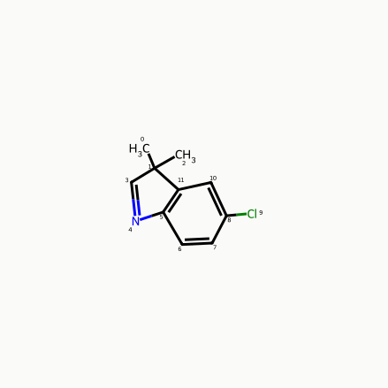 CC1(C)C=Nc2ccc(Cl)cc21